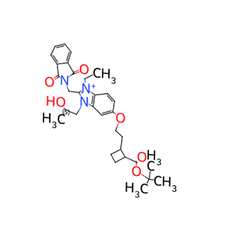 CC[n+]1c(CN2C(=O)c3ccccc3C2=O)n(C[C@H](C)O)c2cc(OCCC3CCC3C(=O)OC(C)(C)C)ccc21